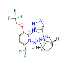 C/N=c1/c(OCC(F)(F)F)ccc(C(F)(F)F)n1/N=N/[C@@H]1[C@@H]2CC[C@H]1CN(c1cnn(C)c1)C2